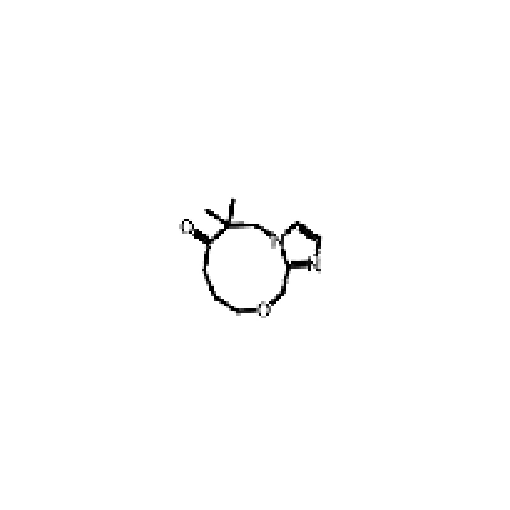 CC1(C)Cn2ccnc2COCCCC1=O